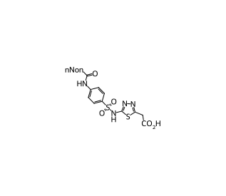 CCCCCCCCCC(=O)Nc1ccc(S(=O)(=O)Nc2nnc(CC(=O)O)s2)cc1